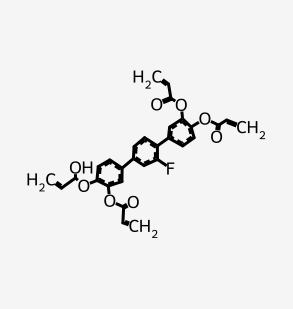 C=CC(=O)Oc1ccc(-c2ccc(-c3ccc(OC(O)C=C)c(OC(=O)C=C)c3)cc2F)cc1OC(=O)C=C